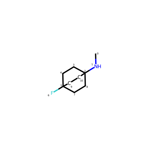 CNC12CCC(F)(CC1)CC2